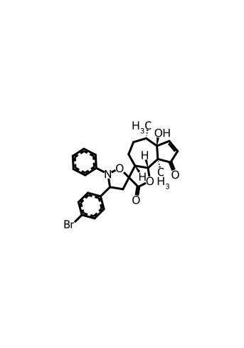 C[C@H]1CC[C@@H]2[C@@H](OC(=O)C23CC(c2ccc(Br)cc2)N(c2ccccc2)O3)[C@]2(C)C(=O)C=C[C@@]12O